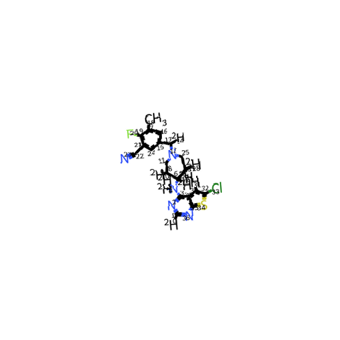 [2H]c1nc(N([2H])C2([2H])C([2H])([2H])CN(C([2H])c3cc(C)c(F)c(C#N)c3)CC2([2H])[2H])c2c([2H])c(Cl)sc2n1